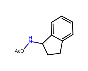 CC(=O)ONC1CCc2ccccc21